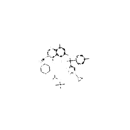 BC(Nc1cc(Cl)c2ncc(C#N)c(N[C@H]3CCCC[C@H]3NC(=O)OC(C)(C)C)c2c1)(c1ccc(F)cc1)c1cn(C2CC2)nn1